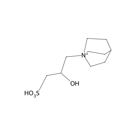 O=S(=O)(O)CC(O)C[N+]12CCC(CC1)CC2